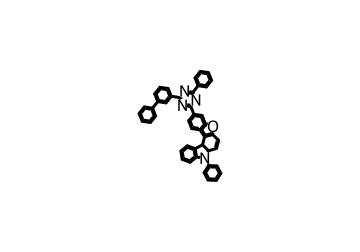 C1=CC2C(c3ccccc3N2c2ccccc2)c2c1oc1cc(-c3nc(-c4ccccc4)nc(-c4cccc(-c5ccccc5)c4)n3)ccc21